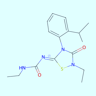 CCNC(=O)/N=c1\sn(CC)c(=O)n1-c1ccccc1C(C)C